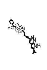 O=C(Nc1nnc(CCC#Cc2cc3cc(C4CC4)[nH]c3nn2)s1)C(O)c1ccccc1